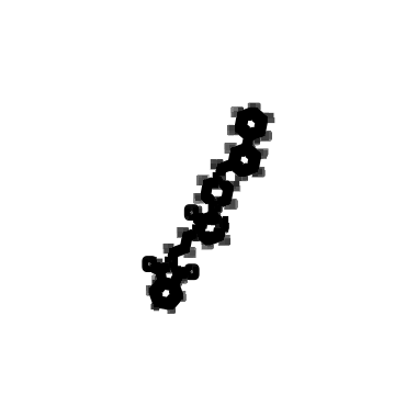 O=C1c2ccccc2C(=O)N1CCCn1ccnc(N2CCN(Cc3cccc(-c4ccccc4)c3)CC2)c1=O